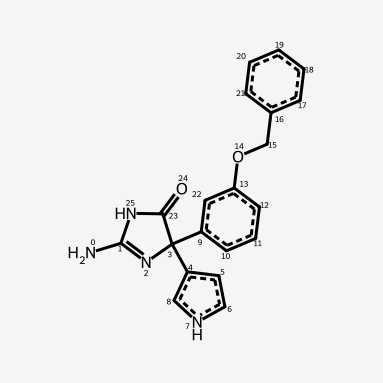 NC1=NC(c2cc[nH]c2)(c2cccc(OCc3ccccc3)c2)C(=O)N1